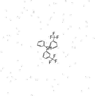 FC(F)(F)c1cccc([SH](c2ccccc2)c2cccc(C(F)(F)F)c2)c1